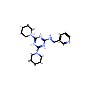 c1cncc(CNc2nc(N3CCCCC3)nc(N3CCCCC3)n2)c1